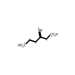 N=C(CCC(=O)O)CC(=O)O